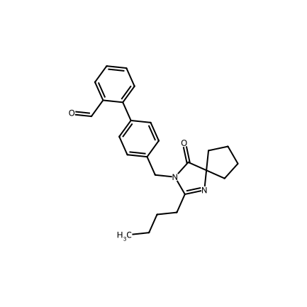 CCCCC1=NC2(CCCC2)C(=O)N1Cc1ccc(-c2ccccc2C=O)cc1